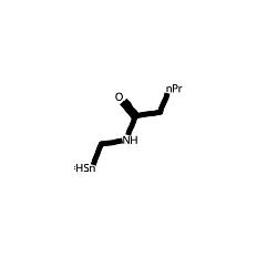 CCCCC(=O)N[CH2][SnH]